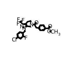 COC(=O)c1ccc(CC(=O)N2CCc3c(C(F)(F)F)nn(Cc4ccc(Cl)cc4F)c3C2)cc1